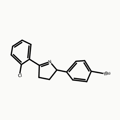 CC(C)(C)c1ccc(C2CCC(c3ccccc3Cl)=N2)cc1